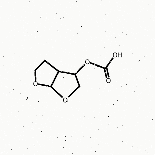 O=C(O)OC1COC2OCCC12